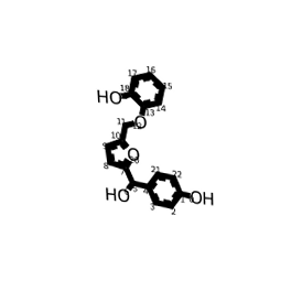 Oc1ccc(C(O)c2ccc(COc3ccccc3O)o2)cc1